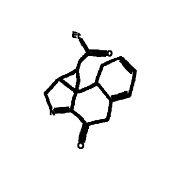 CCC(=O)C1C2CN=C3C(=O)CC4=CC=CCC4C321